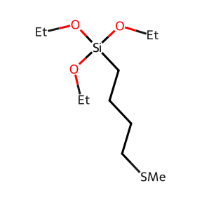 CCO[Si](CCCCSC)(OCC)OCC